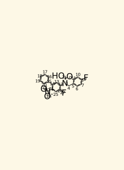 O=C(O)N(Cc1ccc(F)cc1)c1cc(-c2ccccc2)c([N+](=O)[O-])cc1F